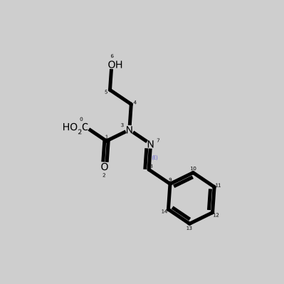 O=C(O)C(=O)N(CCO)/N=C/c1ccccc1